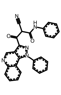 N#CC(C(=O)Nc1ccccc1)C(=O)c1nn(-c2ccccc2)c2c1cnc1ccccc12